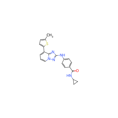 Cc1ccc(-c2cccn3nc(Nc4ccc(C(=O)NC5CC5)cc4)nc23)s1